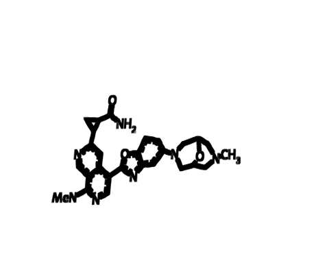 CNc1ncc(-c2nc3cc(N4CC5CN(C)CC(C4)O5)ccc3o2)c2cc(C3CC3C(N)=O)ncc12